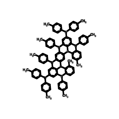 Cc1ccc(N(c2ccc(C)cc2)c2cc3c4c(c2)N(c2ccc(C)cc2)c2cc5c(cc2B4c2cc(C)ccc2N3c2ccc(C)cc2)B2c3c(C)cccc3N(c3ccc(C)cc3)c3cc(N(c4ccc(C)cc4)c4ccc(C)cc4)cc(c32)N5c2ccc(C)cc2)cc1